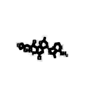 Cc1nc([C@H]2CC(C)Oc3c2cc(Cl)c(F)c3C(=O)NCC2(O)COC2)n2ccnc(N)c12